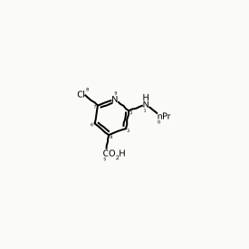 CCCNc1cc(C(=O)O)cc(Cl)n1